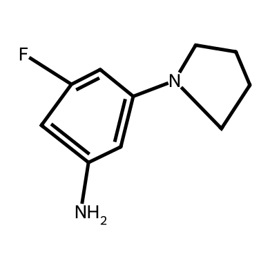 Nc1cc(F)cc(N2CCCC2)c1